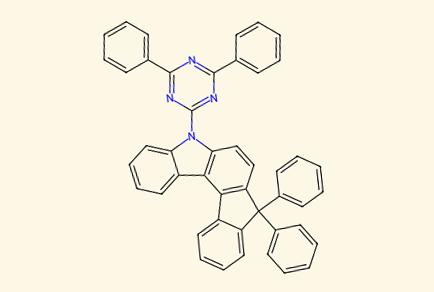 c1ccc(-c2nc(-c3ccccc3)nc(-n3c4ccccc4c4c5c(ccc43)C(c3ccccc3)(c3ccccc3)c3ccccc3-5)n2)cc1